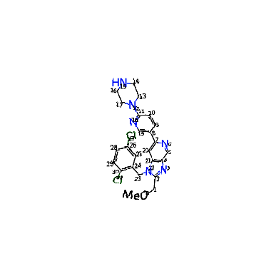 COCc1nc2cnc(-c3ccc(N4CCNCC4)nc3)cc2n1Cc1cc(Cl)ccc1Cl